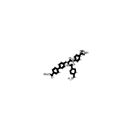 COC(=O)c1ccc(-c2ccc(C[C@H](NC(=O)C3CCC(CN)CC3)C(=O)Nc3ccc(-c4nn[nH]n4)cc3)cc2)cc1